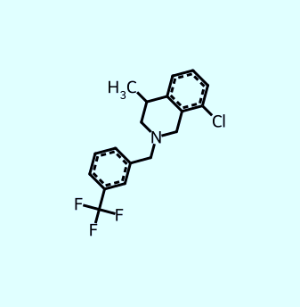 CC1CN(Cc2cccc(C(F)(F)F)c2)Cc2c(Cl)cccc21